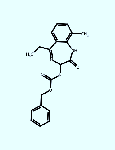 CCC1=NC(NC(=O)OCc2ccccc2)C(=O)Nc2c(C)cccc21